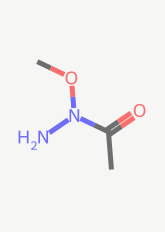 CON(N)C(C)=O